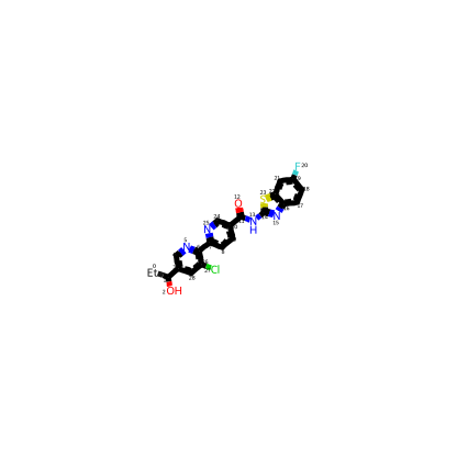 CCC(O)c1cnc(-c2ccc(C(=O)Nc3nc4ccc(F)cc4s3)cn2)c(Cl)c1